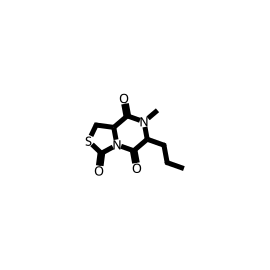 CCCC1C(=O)N2C(=O)SCC2C(=O)N1C